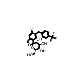 OC[C@H]1O[C@]2(OCc3cc(Cl)c(Cc4ccc(C(F)(F)F)cc4)cc32)[C@H](O)[C@@H](O)[C@@H]1O